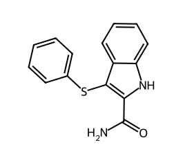 NC(=O)c1[nH]c2ccccc2c1Sc1ccccc1